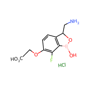 Cl.NCC1OB(O)c2c1ccc(OCC(=O)O)c2F